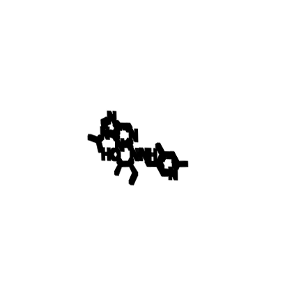 CC[C@@H]([C@@H](C)O)N(NCc1cnc(C)cc1C)c1ncc2ncn(C(C)C)c2n1